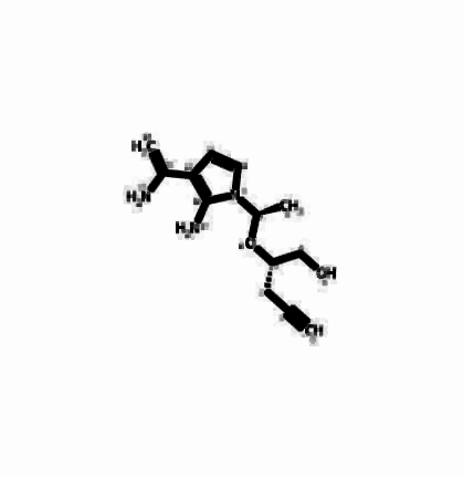 C#CC[C@@H](CO)O[C@H](C)n1ccc(C(=C)N)c1N